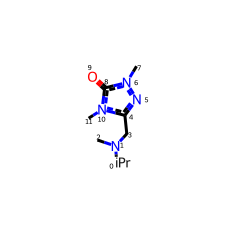 CC(C)N(C)Cc1nn(C)c(=O)n1C